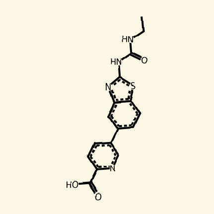 CCNC(=O)Nc1nc2cc(-c3ccc(C(=O)O)nc3)ccc2s1